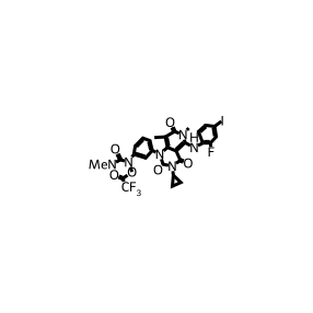 CNC(=O)N(OC(=O)C(F)(F)F)c1cccc(-n2c(=O)n(C3CC3)c(=O)c3c(Nc4ccc(I)cc4F)n(C)c(=O)c(C)c32)c1